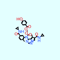 Cc1ccc(C(=O)NC2CC2)cc1N(C(=O)OCOC(=O)c1ccc(O)cc1)c1ncnn2cc(C(=O)NC3CC3)c(C)c12